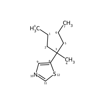 CCCC(C)(CCC)c1cncs1